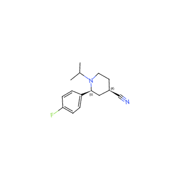 CC(C)N1CC[C@@H](C#N)C[C@H]1c1ccc(F)cc1